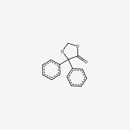 O=C1OCOC1(c1ccccc1)c1ccccc1